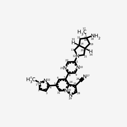 Cn1ccc(-c2cc(-c3cnc(N4C[C@@H]5C[C@@](C)(N)C[C@@H]5C4)cn3)c3c(C#N)cnn3c2)n1